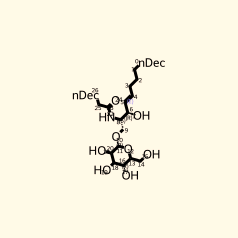 CCCCCCCCCCCCC/C=C/[C@@H](O)[C@H](CO[C@@H]1OC(CO)[C@H](O)C(O)C1O)NC(=O)CCCCCCCCCCC